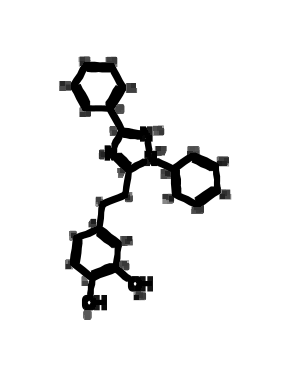 Oc1ccc(CCc2nc(-c3ccccc3)nn2-c2ccccc2)cc1O